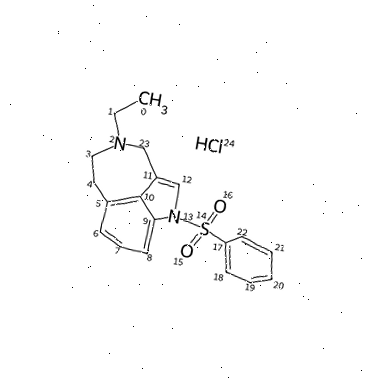 CCN1CCc2cccc3c2c(cn3S(=O)(=O)c2ccccc2)C1.Cl